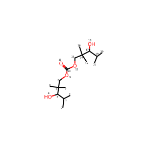 CC(C)C(O)C(C)(C)COC(=O)OCC(C)(C)C(O)C(C)C